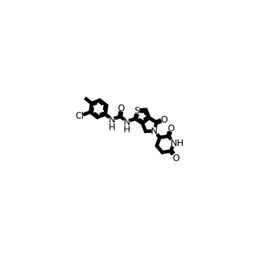 Cc1ccc(NC(=O)Nc2scc3c2CN(C2CCC(=O)NC2=O)C3=O)cc1Cl